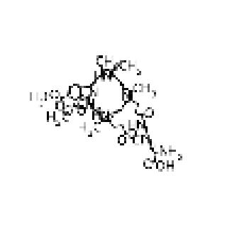 C=Cc1c(C)c2cc3nc(cc4[nH]c(cc5nc(cc1[nH]2)C(C)=C5CCC(=O)NCCCC[C@H](N)C(=O)O)c(CCC(=O)OC)c4C)[C@@]1(C)C3=CC=C(C(=O)OC)[C@H]1C(=O)OC